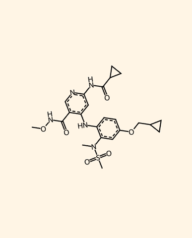 CONC(=O)c1cnc(NC(=O)C2CC2)cc1Nc1ccc(OCC2CC2)cc1N(C)S(C)(=O)=O